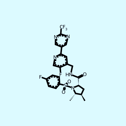 C[C@@H]1C[C@@H](C(=O)NCc2cc(-c3cnc(C(F)(F)F)nc3)ncc2F)N(S(=O)(=O)c2ccc(F)cc2)[C@H]1C